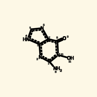 Nc1nc2[nH]cnc2c(=O)n1O